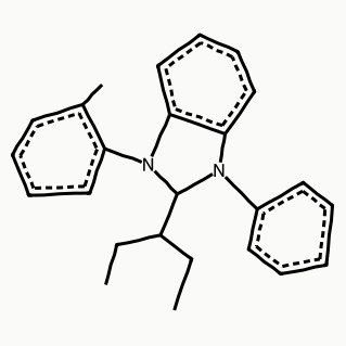 CCC(CC)C1N(c2ccccc2)c2ccccc2N1c1ccccc1C